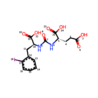 O=C(O)CC[C@H](NC(=O)N[C@@H](Cc1ccccc1I)C(=O)O)C(=O)O